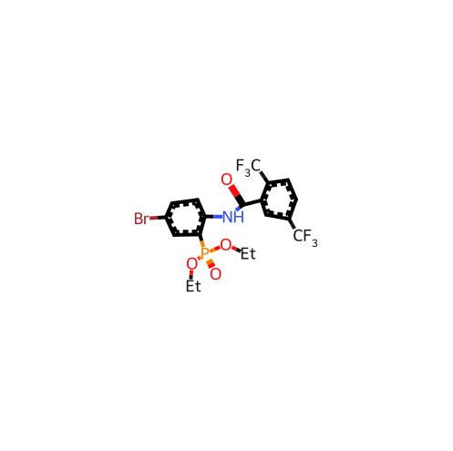 CCOP(=O)(OCC)c1cc(Br)ccc1NC(=O)c1cc(C(F)(F)F)ccc1C(F)(F)F